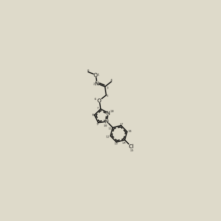 CON=C(C)COc1ccn(-c2ccc(Cl)cc2)n1